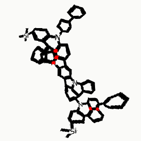 C[Si](C)(C)c1ccc(N(c2ccc(-c3ccccc3)cc2)c2ccc3c4cc5c(cc4n4c6ccccc6c2c34)c2ccc(N(c3ccc(-c4ccccc4)cc3)c3ccc([Si](C)(C)C)cc3-c3ccccc3)c3c4ccccc4n5c23)c(-c2ccccc2)c1